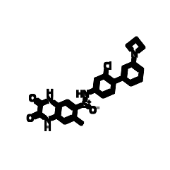 Cc1cc2[nH]c(=O)c(=O)[nH]c2cc1[S+]([O-])Nc1ccc(-c2cccc(N3CCC3)c2)c(Cl)c1